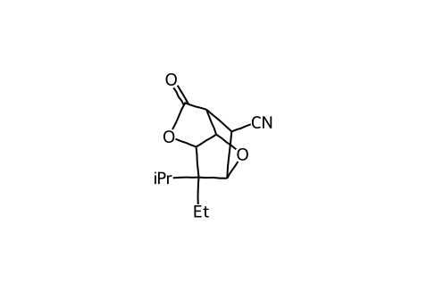 CCC1(C(C)C)C2OC3C(C(=O)OC31)C2C#N